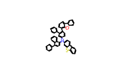 c1ccc(-c2cc(N(c3ccc4c(c3)sc3ccccc34)c3ccc(-c4ccccc4)c4ccccc34)ccc2-c2cccc3c2oc2ccccc23)cc1